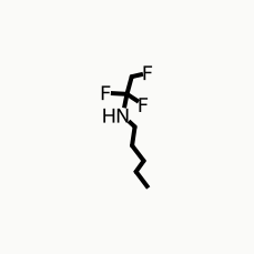 CCCCCNC(F)(F)CF